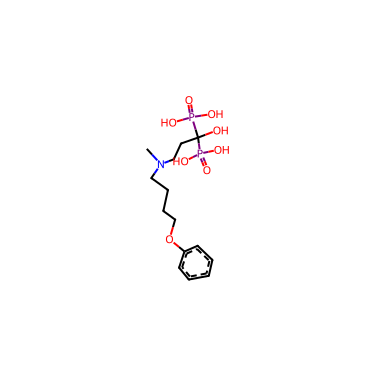 CN(CCCCOc1ccccc1)CCC(O)(P(=O)(O)O)P(=O)(O)O